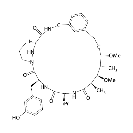 CO[C@@H]1[C@@H](C)[C@@H](OC)CCc2cccc(c2)CNC(=O)[C@@H]2CCCN(N2)C(=O)[C@H](Cc2cccc(O)c2)NC(=O)[C@H](C(C)C)NC(=O)[C@@H]1C